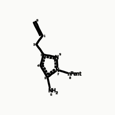 C=CCc1cc(N)n(CCCCC)n1